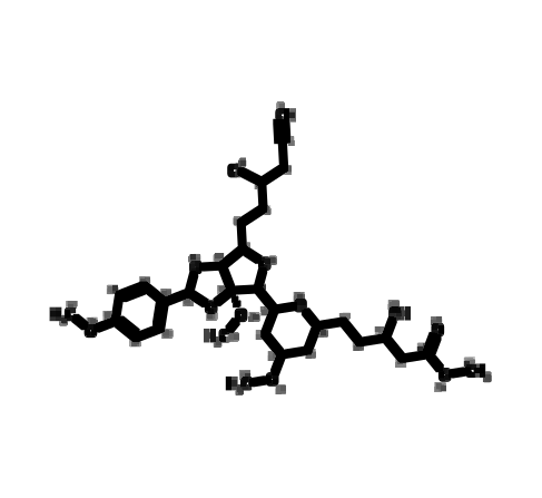 C#CCC(Cl)CCC1OC(C2CC(OC)CC(CCC(O)CC(=O)OC)O2)[C@@]2(OC)OC(c3ccc(OC)cc3)OC12